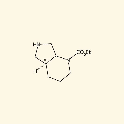 CCOC(=O)N1CCC[C@H]2CNCC21